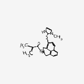 CC(C)C(=O)NC1Cc2cccc3ccc(SC4NC=CN4C)c(c23)C1